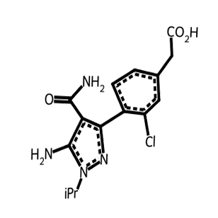 CC(C)n1nc(-c2ccc(CC(=O)O)cc2Cl)c(C(N)=O)c1N